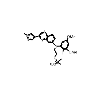 COc1cc(OC)c(F)c(N(CCO[Si](C)(C)C(C)(C)C)c2ccc3ncc(-c4cnn(C)c4)nc3c2)c1